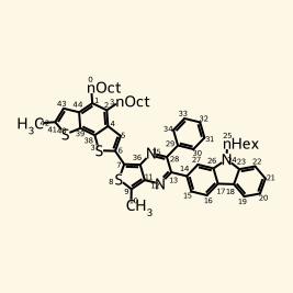 CCCCCCCCc1c(CCCCCCCC)c2cc(-c3sc(C)c4nc(-c5ccc6c7ccccc7n(CCCCCC)c6c5)c(-c5ccccc5)nc34)sc2c2sc(C)cc12